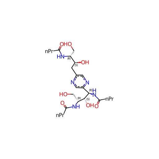 CCCC(=O)N[C@H](c1cnc(C[C@H](O)[C@@H](CO)NC(=O)CCC)cn1)[C@H](O)[C@@H](CO)NC(=O)CCC